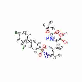 COC(=O)[C@@H](NC(=O)OC(C)(C)C)c1cccc(NS(=O)(=O)c2ccc(-c3ccc(F)cc3F)cc2)c1